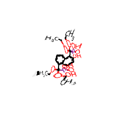 CCOC(OCC)(c1cccc2c(C(OCC)(OCC)P(=O)(O)O)cccc12)P(=O)(O)O